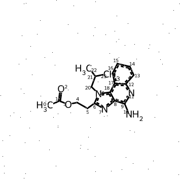 CC(=O)OCCc1nc2c(N)nc3ccccc3c2n1CC(C)C